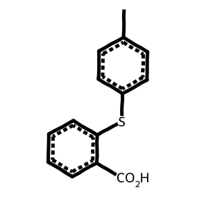 Cc1ccc(Sc2ccccc2C(=O)O)cc1